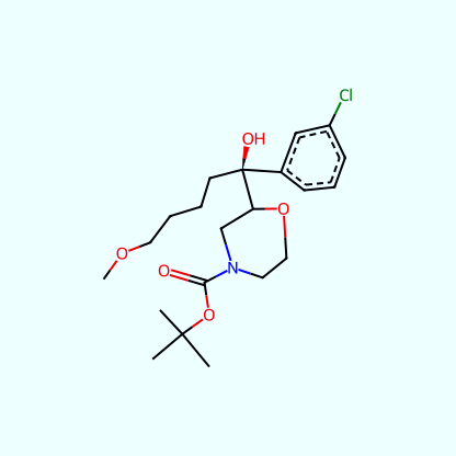 COCCCC[C@](O)(c1cccc(Cl)c1)C1CN(C(=O)OC(C)(C)C)CCO1